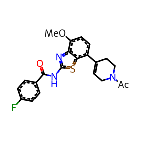 COc1ccc(C2=CCN(C(C)=O)CC2)c2sc(NC(=O)c3ccc(F)cc3)nc12